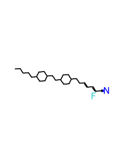 CCCCCC1CCC(CCC2CCC(CCC=CC=C(F)C#N)CC2)CC1